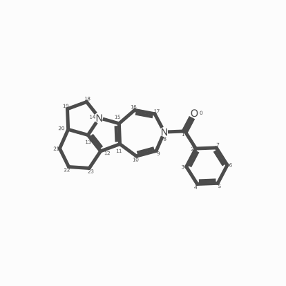 O=C(c1ccccc1)N1C=Cc2c3c4n(c2C=C1)CCC4CCC3